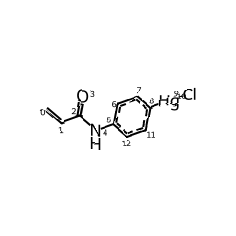 C=CC(=O)Nc1cc[c]([Hg][Cl])cc1